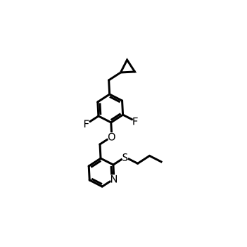 CCCSc1ncccc1COc1c(F)cc(CC2CC2)cc1F